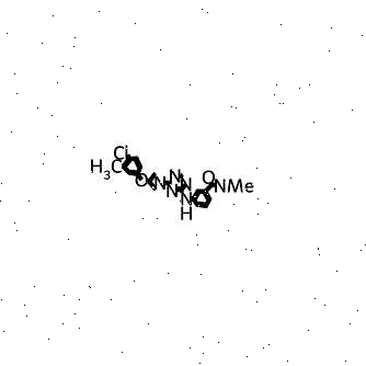 CNC(=O)c1cccc(Nc2ncnc(N3CC(Oc4ccc(Cl)c(C)c4)C3)n2)c1